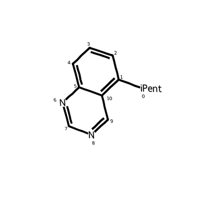 CCCC(C)c1cccc2ncncc12